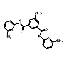 Nc1cccc(NC(=O)c2cc(C=O)cc(C(=O)Nc3cccc(N)n3)c2)n1